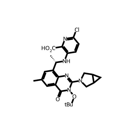 Cc1cc([C@H](C)Nc2ccc(Cl)nc2C(=O)O)c2nc(N3CC4CC4C3)n(OC(C)(C)C)c(=O)c2c1